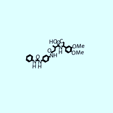 COc1ccc(C(CC(=O)O)NC(=O)C(C)CC(=O)Nc2ccc(NC(=O)Nc3ccccc3)cc2)cc1OC